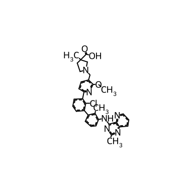 COc1nc(-c2cccc(-c3cccc(Nc4nc(C)nc5cccnc45)c3C)c2Cl)ccc1CN1CCC(C)(C(=O)O)C1